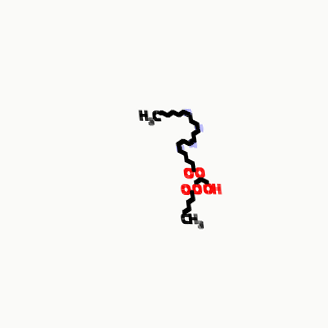 CCCCC/C=C\C/C=C\C/C=C\C/C=C\CCCC(=O)OC(CO)COC(=O)CCCCC